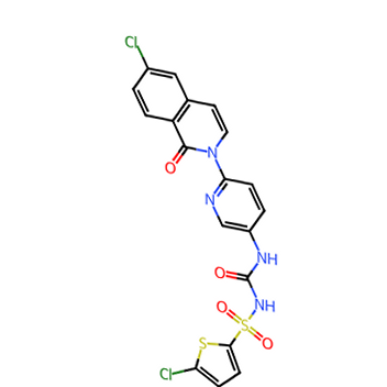 O=C(Nc1ccc(-n2ccc3cc(Cl)ccc3c2=O)nc1)NS(=O)(=O)c1ccc(Cl)s1